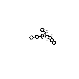 O=C1C(=Cc2cc3sc(-c4ccc(C5CCCCC5)cc4)cc3n2C(=O)c2ccccc2)C(=O)c2cc3ccccc3cc21